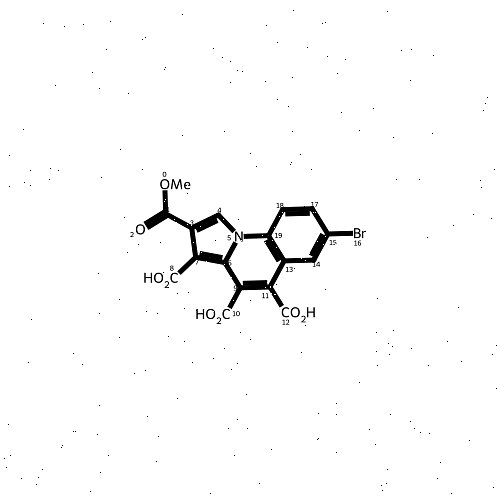 COC(=O)c1cn2c(c1C(=O)O)c(C(=O)O)c(C(=O)O)c1cc(Br)ccc12